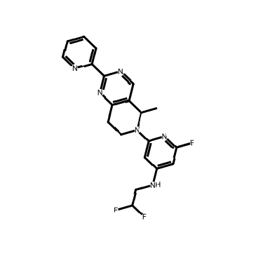 CC1c2cnc(-c3ccccn3)nc2CCN1c1cc(NCC(F)F)cc(F)n1